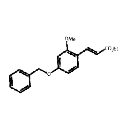 CCOC(=O)C=Cc1ccc(OCc2ccccc2)cc1OC